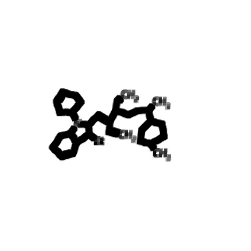 C=C/C(=C\C1C(CC)C2C=CCCC2N1C1CC=CCC1)C(C=C)CCC(C)C1CCC(C)CC1